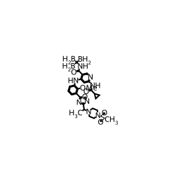 BC(B)(B)NC(=O)c1cnc(NC(=O)C2CC2)cc1Nc1cccc(-c2nc(C(C)N3CCN(S(C)(=O)=O)CC3)no2)c1OC